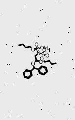 CCCCOP(=O)(O)N(CC(=O)OC(c1ccccc1)c1ccccc1)P(=O)(O)OCCCC